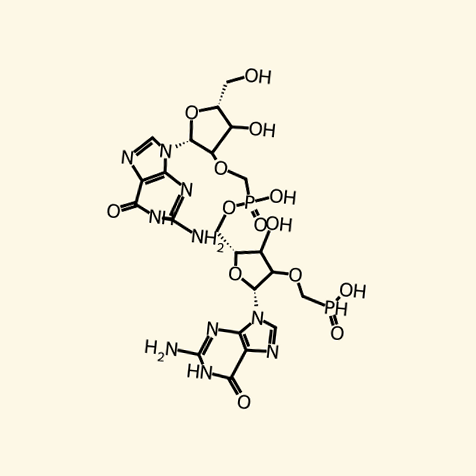 Nc1nc2c(ncn2[C@@H]2O[C@H](CO)C(O)C2OCP(=O)(O)OC[C@H]2O[C@@H](n3cnc4c(=O)[nH]c(N)nc43)C(OC[PH](=O)O)C2O)c(=O)[nH]1